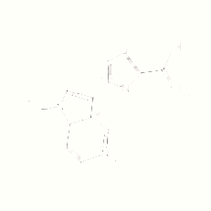 C=C(O)c1ccc(C2=CN(C)C3C=CN=CC23)[nH]1